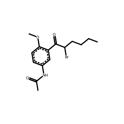 CCCCC(Br)C(=O)c1cc(NC(C)=O)ccc1OC